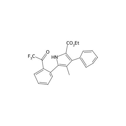 CCOC(=O)c1[nH]c(-c2ccccc2C(=O)C(F)(F)F)c(C)c1-c1ccccc1